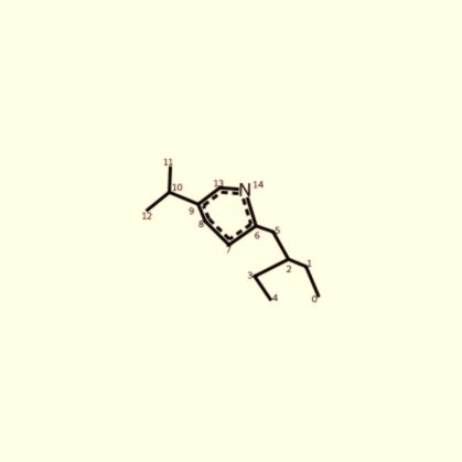 CCC(CC)Cc1ccc(C(C)C)cn1